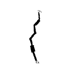 [CH2]CC#CCCC=CC